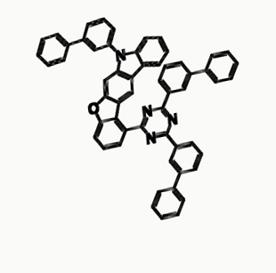 c1ccc(-c2cccc(-c3nc(-c4cccc(-c5ccccc5)c4)nc(-c4cccc5oc6cc7c(cc6c45)c4ccccc4n7-c4cccc(-c5ccccc5)c4)n3)c2)cc1